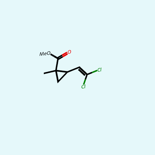 COC(=O)C1(C)CC1C=C(Cl)Cl